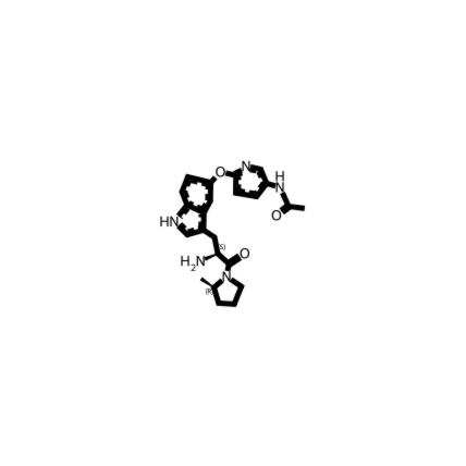 CC(=O)Nc1ccc(Oc2ccc3[nH]cc(C[C@H](N)C(=O)N4CCC[C@H]4C)c3c2)nc1